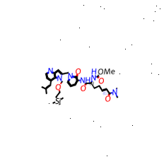 COC(=O)N[C@@H](CC/C=C/C(=O)N(C)C)C(=O)Nc1cccn(Cc2cc3nccc(C=C(C)C)c3n2COCC[Si](C)(C)C)c1=O